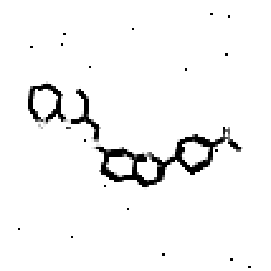 CCC(COc1ccc2ccc(-c3ccc(NC)cc3)nc2c1)OC1CCCCO1